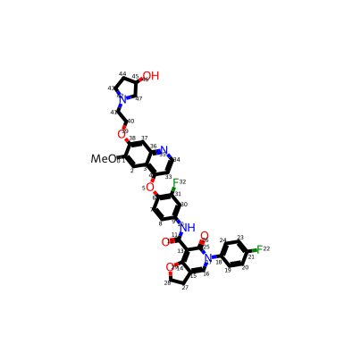 COc1cc2c(Oc3ccc(NC(=O)c4c5c(cn(-c6ccc(F)cc6)c4=O)CCO5)cc3F)ccnc2cc1OCCN1CCC(O)C1